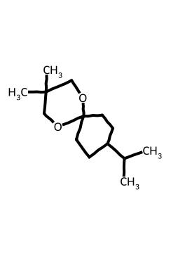 CC(C)C1CCC2(CC1)OCC(C)(C)CO2